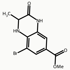 COC(=O)c1cc(Br)c2c(c1)NC(=O)C(C)N2